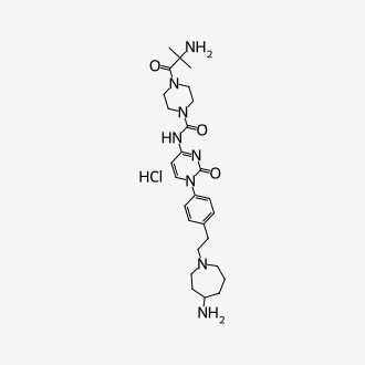 CC(C)(N)C(=O)N1CCN(C(=O)Nc2ccn(-c3ccc(CCN4CCCC(N)CC4)cc3)c(=O)n2)CC1.Cl